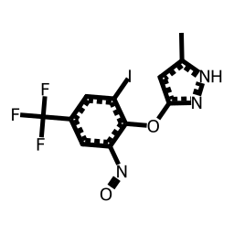 Cc1cc(Oc2c(I)cc(C(F)(F)F)cc2N=O)n[nH]1